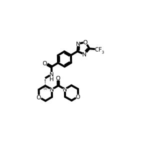 O=C(NC[C@H]1COCCN1C(=O)N1CCOCC1)c1ccc(-c2noc(C(F)(F)F)n2)cc1